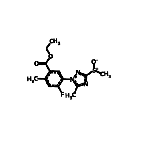 CCOC(=O)c1cc(-n2nc([S+](C)[O-])nc2C)c(F)cc1C